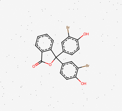 O=C1OC(c2ccc(O)c(Br)c2)(c2ccc(O)c(Br)c2)c2ccccc21